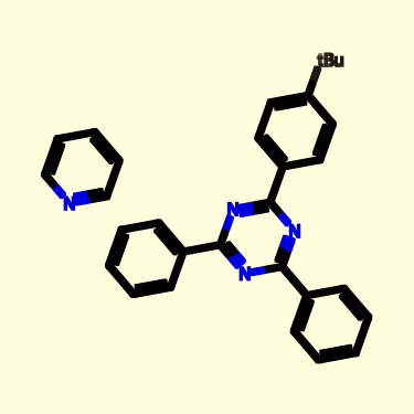 CC(C)(C)c1ccc(-c2nc(-c3ccccc3)nc(-c3ccccc3)n2)cc1.c1ccncc1